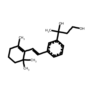 CC1=C(C=Cc2cccc(C(C)(O)CCO)c2)C(C)(C)CCC1